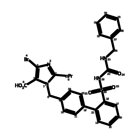 CCCc1nc(Br)c(C(=O)O)n1Cc1ccc(-c2ccccc2S(=O)(=O)NC(=O)NCc2ccccc2)cc1